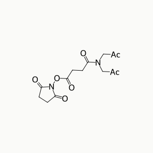 CC(=O)CN(CC(C)=O)C(=O)CCC(=O)ON1C(=O)CCC1=O